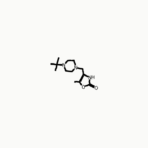 Cc1oc(=O)[nH]c1CN1CCN(C(C)(C)C)CC1